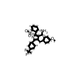 COc1ccc(Cc2c(-c3ccc(C(F)(F)F)cc3)[nH]c(-c3ccccc3[N+](=O)[O-])c2C(N)=O)cc1